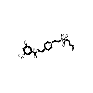 O=C(NCC1CCN(CCNS(=O)(=O)CCCF)CC1)c1cc(F)cc(C(F)(F)F)c1